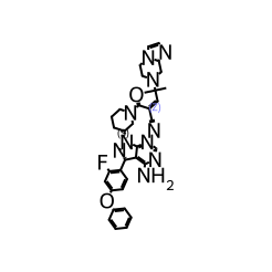 CC(C)(/C=C(/C#N)C(=O)N1CCC[C@H](n2nc(-c3ccc(Oc4ccccc4)cc3F)c3c(N)ncnc32)C1)N1CCn2ccnc2C1